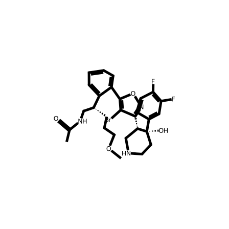 COCCC[C@H](CNC(C)=O)c1ccccc1-c1onc([C@H]2CNCC[C@]2(O)c2ccc(F)c(F)c2)c1Br